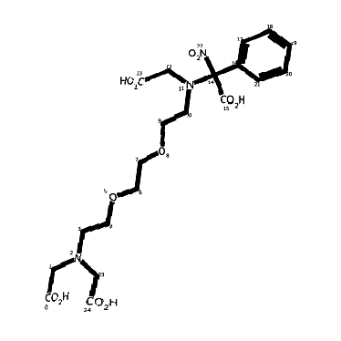 O=C(O)CN(CCOCCOCCN(CC(=O)O)C(C(=O)O)(c1ccccc1)[N+](=O)[O-])CC(=O)O